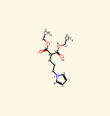 CCOC(=O)C(CCCn1cccc1)C(=O)OCC